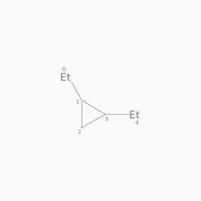 CC[C]1CC1CC